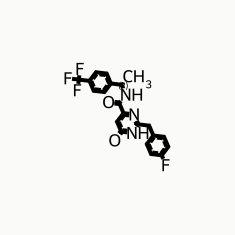 C[C@@H](NC(=O)c1cc(=O)[nH]c(Cc2ccc(F)cc2)n1)c1ccc(C(F)(F)F)cc1